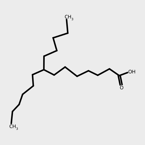 CCCCCCC(CCCCC)CCCCCCC(=O)O